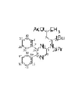 CC(=O)OC(C)CC(N(c1cnc(-c2ccccc2)c(-c2ccccc2)n1)C(C)C)C(C)(C)C